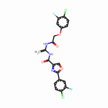 C=C(NC(=O)COc1ccc(Cl)c(F)c1)NC(=O)c1coc(-c2ccc(Cl)c(F)c2)n1